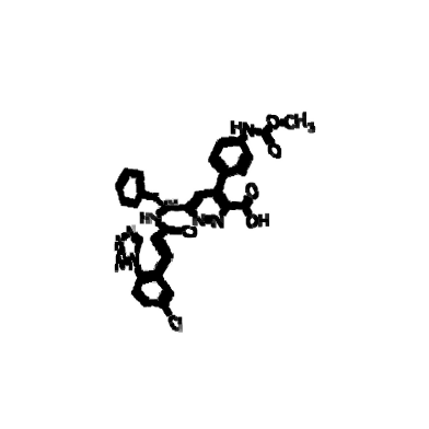 COC(=O)Nc1ccc(-c2cc([C@H](Cc3ccccc3)NC(=O)C=Cc3cc(Cl)ccc3-n3cnnn3)nnc2C(=O)O)cc1